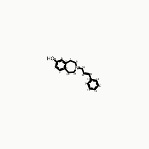 Oc1ccc2c(c1)CCN(CC=Cc1ccccc1)CC2